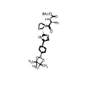 COC(=O)N[C@H](C(=O)N1CCS[C@H]1c1ncc(-c2ccc(B3OC(C)(C)C(C)(C)O3)cc2)[nH]1)C(C)C